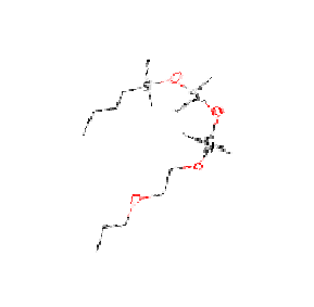 CCCC[Si](C)(C)O[Si](C)(C)O[Si](C)(C)OCCOCCC